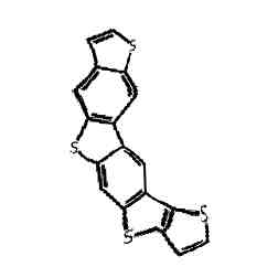 c1cc2cc3sc4cc5sc6ccsc6c5cc4c3cc2s1